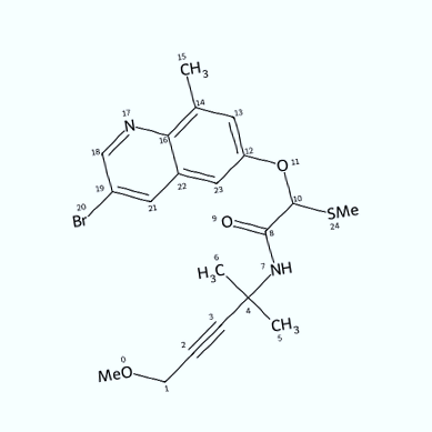 COCC#CC(C)(C)NC(=O)C(Oc1cc(C)c2ncc(Br)cc2c1)SC